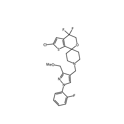 COCc1nn(-c2ccccc2F)cc1CN1CCC2(CC1)OCC(F)(F)c1cc(Cl)sc12